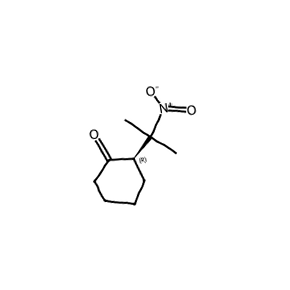 CC(C)([C@H]1CCCCC1=O)[N+](=O)[O-]